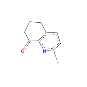 O=C1CCCc2ccc(F)nc21